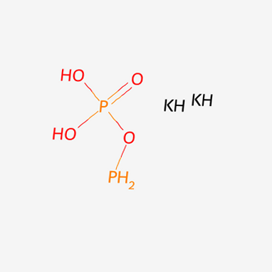 O=P(O)(O)OP.[KH].[KH]